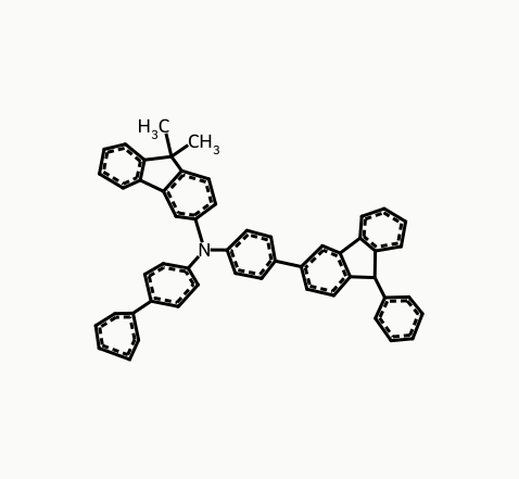 CC1(C)c2ccccc2-c2cc(N(c3ccc(-c4ccccc4)cc3)c3ccc(-c4ccc5c(c4)-c4ccccc4C5c4ccccc4)cc3)ccc21